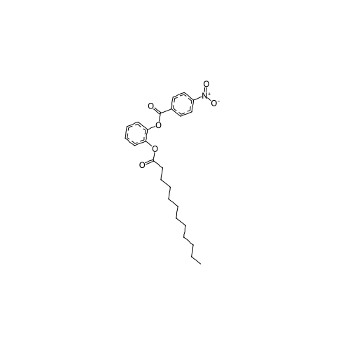 CCCCCCCCCCCC(=O)Oc1ccccc1OC(=O)c1ccc([N+](=O)[O-])cc1